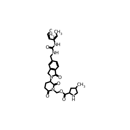 C/C=C\C(=C/C)NC(=O)NCc1ccc2c(c1)CN(C1CCC(=O)N(COC(=O)C3CC(C)CN3)C1=O)C2=O